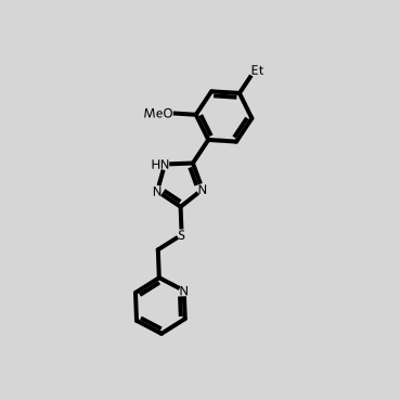 CCc1ccc(-c2nc(SCc3ccccn3)n[nH]2)c(OC)c1